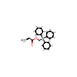 C=CC(=O)OC[Si](c1ccccc1)(c1ccccc1)c1ccccc1